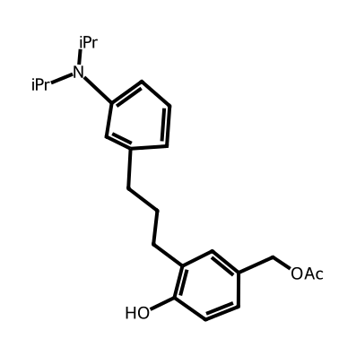 CC(=O)OCc1ccc(O)c(CCCc2cccc(N(C(C)C)C(C)C)c2)c1